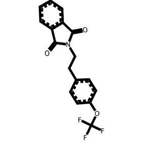 O=C1c2ccccc2C(=O)N1CCc1ccc(OC(F)(F)F)cc1